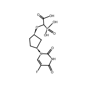 O=C(O)C(O[C@@H]1CC[C@H](n2cc(F)c(=O)[nH]c2=O)C1)P(=O)(O)O